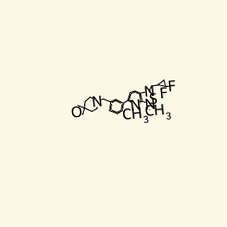 Cc1ccc(CN2CCC3(CC2)COC3)cc1-c1ccc2c(n1)N(C)SN2CC1CC1(F)F